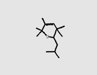 CC1=CC(C)(C)C(CC(C)C)OC1(C)C